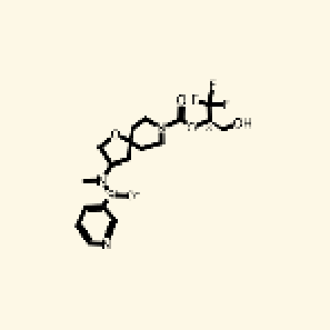 CN(C1COC2(CCN(C(=O)O[C@H](CO)C(F)(F)F)CC2)C1)[S+]([O-])c1cccnc1